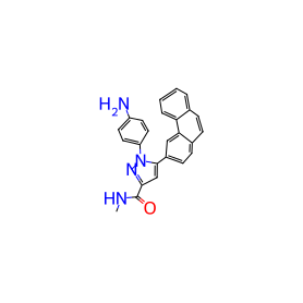 CNC(=O)c1cc(-c2ccc3ccc4ccccc4c3c2)n(-c2ccc(N)cc2)n1